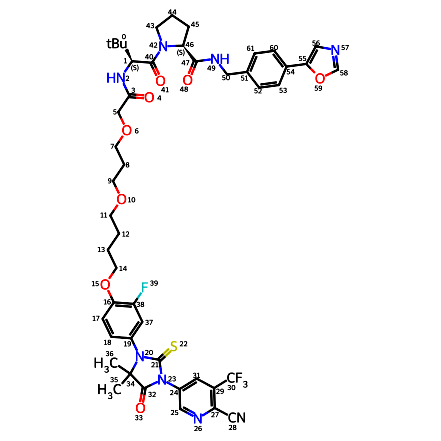 CC(C)(C)[C@H](NC(=O)COCCCOCCCCOc1ccc(N2C(=S)N(c3cnc(C#N)c(C(F)(F)F)c3)C(=O)C2(C)C)cc1F)C(=O)N1CCC[C@H]1C(=O)NCc1ccc(-c2cnco2)cc1